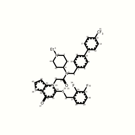 CCN1CCC(N(Cc2ccc(-c3ccc(C(F)(F)F)cc3)cc2)C(=O)Cn2c(SCc3cccc(F)c3F)cc(=O)c3sccc32)CC1